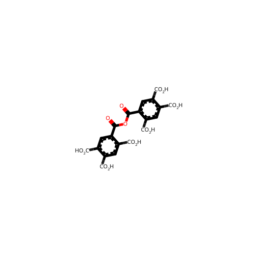 O=C(O)c1cc(C(=O)O)c(C(=O)OC(=O)c2cc(C(=O)O)c(C(=O)O)cc2C(=O)O)cc1C(=O)O